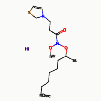 CCCCCCCCCCCCCCCC(CC)ON(OCCC)C(=O)CCN1C=CSC1.I